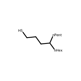 CCCCCCC(CCCS)CCCCC